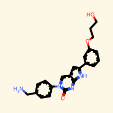 NCc1ccc(-n2cc3cc(-c4cccc(OCCCO)c4)[nH]c3nc2=O)cc1